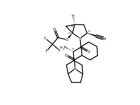 N#C[C@@H]1C[C@@H]2C[C@@]2(OC(=O)C(F)(F)F)N1C(=O)[C@@H](N)C1CC2CCC(C1)N2C(=O)C1CCCCC1